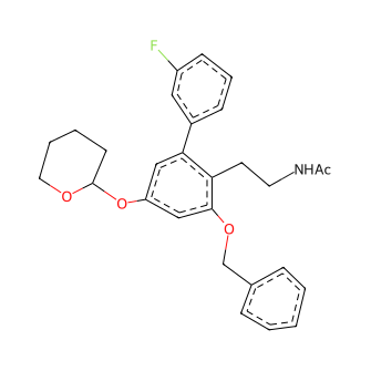 CC(=O)NCCc1c(OCc2ccccc2)cc(OC2CCCCO2)cc1-c1cccc(F)c1